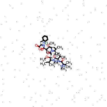 CC[C@H](C)[C@@H]([C@@H](CC(=O)N1C(C)[C@@H](C)C[C@H]1[C@H](OC)[C@@H](C)C(=O)N[C@@H](Cc1ccccc1Cl)C(=O)O)OC)N(C)C(=O)[C@@H](NC(=O)C(NC)C(C)C)C(C)C